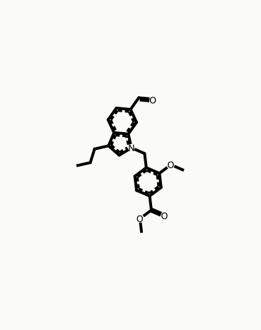 CCCc1cn(Cc2ccc(C(=O)OC)cc2OC)c2cc(C=O)ccc12